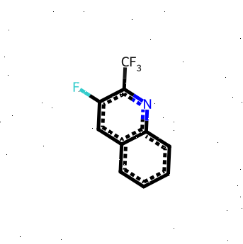 Fc1cc2ccccc2nc1C(F)(F)F